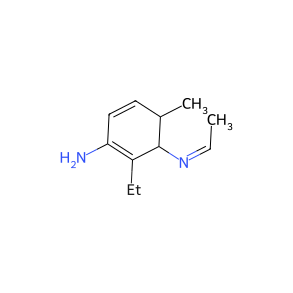 C/C=N\C1C(CC)=C(N)C=CC1C